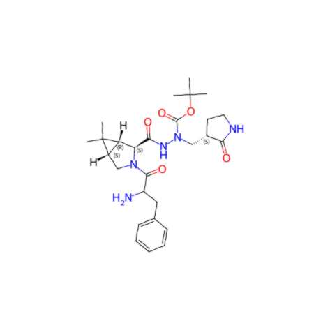 CC(C)(C)OC(=O)N(C[C@@H]1CCNC1=O)NC(=O)[C@@H]1[C@@H]2[C@H](CN1C(=O)C(N)Cc1ccccc1)C2(C)C